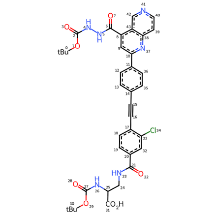 CC(C)(C)OC(=O)NNC(=O)c1cc(-c2ccc(C#Cc3ccc(C(=O)NCC(NC(=O)OC(C)(C)C)C(=O)O)cc3Cl)cc2)nc2ccncc12